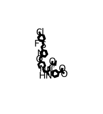 COC(=O)c1ccc2c(c1)N(C[C@@H]1CCO1)C(=CN1CCC(Oc3cccc(CSc4ccc(Cl)cc4F)n3)CC1)N2